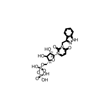 O=c1ccn([C@@H]2O[C@H](COP(=O)(O)OP(=O)(O)O)C(O)[C@@H]2O)c(=O)n1Cc1n[nH]c2ccccc12